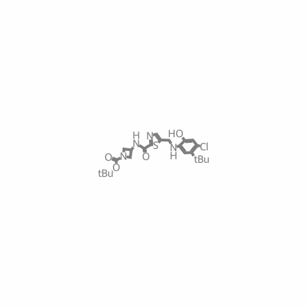 CC(C)(C)OC(=O)N1CC(NC(=O)c2ncc(CNc3cc(C(C)(C)C)c(Cl)cc3O)s2)C1